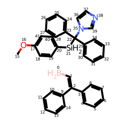 BC=C(c1ccccc1)c1ccccc1.COc1ccc([SiH2]C(c2ccccc2)(c2ccccc2)n2ccnc2)cc1